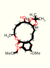 COCOc1cc(OC)cc2c1C(=O)O[C@@H](C)C/C=C\C(O)[C@H]1OC(C)(C)O[C@H]1C/C=C/2